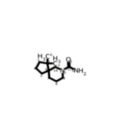 CC1(C)CCCC12CCCN(C(N)=O)C2